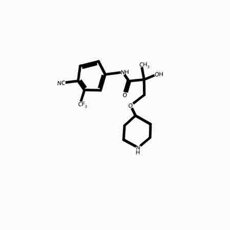 CC(O)(COC1CCNCC1)C(=O)Nc1ccc(C#N)c(C(F)(F)F)c1